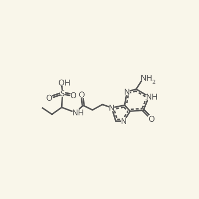 CCC(NC(=O)CCn1cnc2c(=O)[nH]c(N)nc21)S(=O)(=O)O